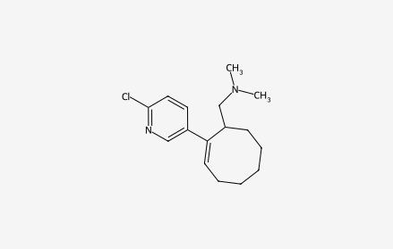 CN(C)CC1CCCCC/C=C\1c1ccc(Cl)nc1